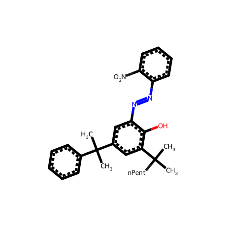 CCCCCC(C)(C)c1cc(C(C)(C)c2ccccc2)cc(N=Nc2ccccc2[N+](=O)[O-])c1O